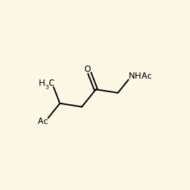 CC(=O)NCC(=O)CC(C)C(C)=O